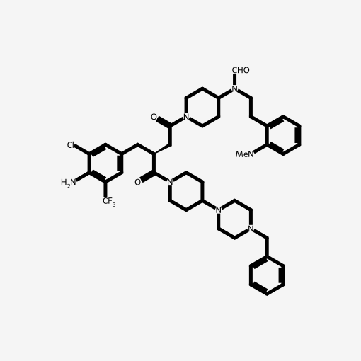 CNc1ccccc1CCN(C=O)C1CCN(C(=O)C[C@H](Cc2cc(Cl)c(N)c(C(F)(F)F)c2)C(=O)N2CCC(N3CCN(Cc4ccccc4)CC3)CC2)CC1